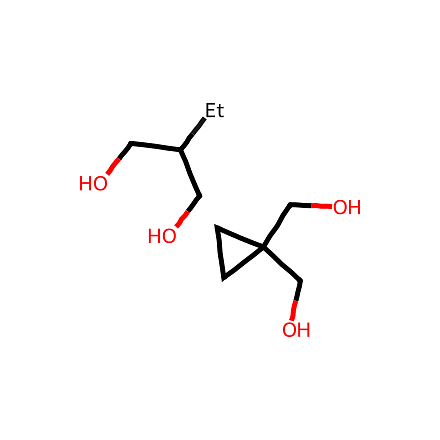 CCC(CO)CO.OCC1(CO)CC1